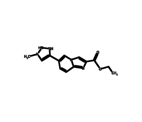 CCOC(=O)c1cn2cc(C3=CN(C)NN3)ccc2n1